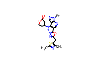 CCn1ncc2c(NC3CCOC(=O)C3)c(-c3nnc(Cc4sc(C)nc4C)o3)cnc21